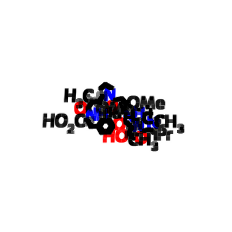 CC[C@H](C)[C@@H]([C@@H](CC(=O)N1CCC[C@H]1[C@H](OC)[C@@H](C)C(=O)N[C@@H](Cc1ccccc1)C(=O)O)OC)N(C)C(=O)[C@@H](NC(=O)C(C(C)C)N(C)C)[C@@H](C)O